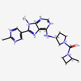 CCn1c(-c2cnc(C)nc2)nc2c(N[C@H]3CCN(C(=O)N4CCC4C)C3)ncnc21